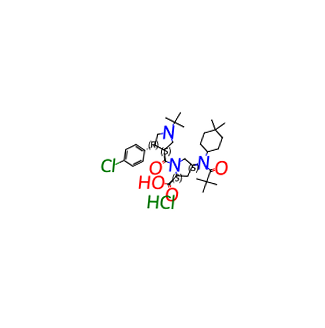 CC1(C)CCC(N(C(=O)C(C)(C)C)[C@H]2C[C@@H](C(=O)O)N(C(=O)[C@@H]3CN(C(C)(C)C)C[C@H]3c3ccc(Cl)cc3)C2)CC1.Cl